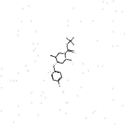 CC1CN(C(=O)OC(C)(C)C)C(C)C[C@@H]1Oc1ccc(F)cc1